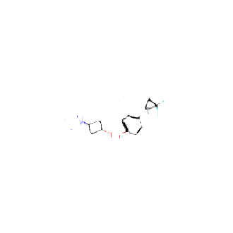 Cl.NC1CC(Oc2ccc([C@H]3CC3(F)F)cc2)C1